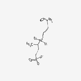 CC[N+](CC)(CC=CC(N)=O)C(C)CCS(=O)(=O)[O-]